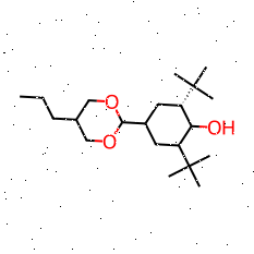 CCCC1COC(C2CC(C(C)(C)C)C(O)[C@@H](C(C)(C)C)C2)OC1